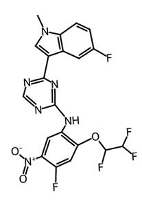 Cn1cc(-c2ncnc(Nc3cc([N+](=O)[O-])c(F)cc3OC(F)C(F)F)n2)c2cc(F)ccc21